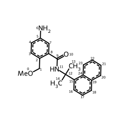 COCc1ccc(N)cc1C(=O)NC(C)(C)c1cccc2ccccc12